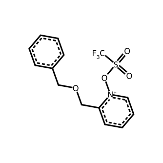 O=S(=O)(O[n+]1ccccc1COCc1ccccc1)C(F)(F)F